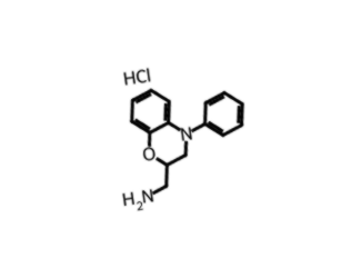 Cl.NCC1CN(c2ccccc2)c2ccccc2O1